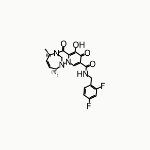 C[C@@H]1C=C[C@@H](C)N2CN1C(=O)c1c(O)c(=O)c(C(=O)NCc3ccc(F)cc3F)cn12